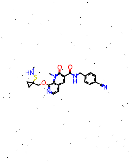 CNSC1(COc2nccc3cc(C(=O)NCc4ccc(C#N)cc4)c(=O)n(C)c23)CC1